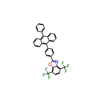 FC(F)(F)c1ccc(C(F)(F)F)c2oc(-c3ccc(-c4c5ccccc5c(-c5ccccc5)c5ccccc45)cc3)nc12